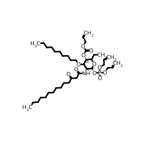 C=CCOC(=O)O[C@@H]1C(CC)O[C@H](OP(=O)(OCC=C)OCC=C)[C@H](NC(=O)CC(=O)CCCCCCCCCCC)C1OCCCCCCCCCC